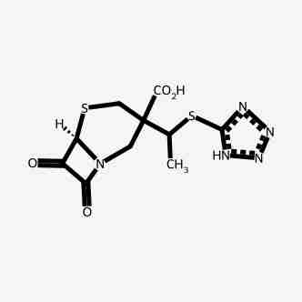 CC(Sc1nnn[nH]1)C1(C(=O)O)CS[C@@H]2C(=O)C(=O)N2C1